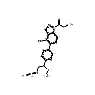 CC(C)(C)OC(=O)n1ncc2c(N)c(-c3ccc(C(CN=C=O)OC(C)(C)C)cc3)ccc21